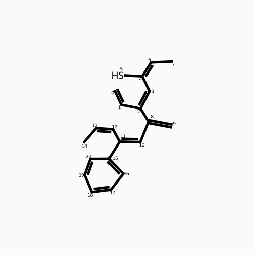 C=C/C(=C\C(S)=C/C)C(=C)/C=C(\C=C/C)c1ccccc1